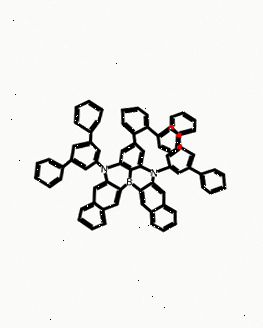 c1ccc(-c2cc(-c3ccccc3)cc(N3c4cc5ccccc5cc4B4c5cc6ccccc6cc5N(c5cc(-c6ccccc6)cc(-c6ccccc6)c5)c5cc(-c6ccccc6-c6ccccc6)cc3c54)c2)cc1